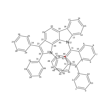 c1ccc(-c2c3ccccc3c(-n3c4ccccc4c4ccc5c(-c6ccccc6)c(-c6ccccc6)n(-c6ccccc6)c5c43)c3ccccc23)cc1